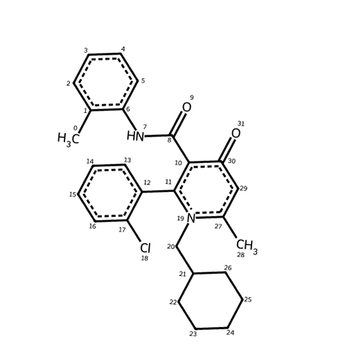 Cc1ccccc1NC(=O)c1c(-c2ccccc2Cl)n(CC2CCCCC2)c(C)cc1=O